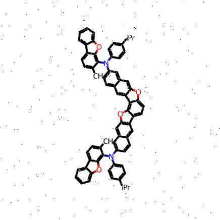 Cc1ccc2c(oc3ccccc32)c1N(c1ccc(C(C)C)cc1)c1ccc2cc3c(cc2c1)oc1c3ccc2oc3cc4cc(N(c5ccc(C(C)C)cc5)c5c(C)ccc6c5oc5ccccc56)ccc4cc3c21